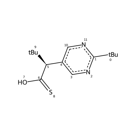 CC(C)(C)c1ncc([C@@H](C(O)=S)C(C)(C)C)cn1